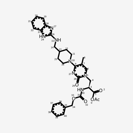 CC(=O)OC(=O)[C@H](Cn1cc(C)c(N2CCC(CNc3nc4ccccc4[nH]3)CC2)nc1=O)NC(=O)OCc1ccccc1